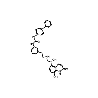 O=C(Nc1ccc(-c2ccccc2)cc1)Nc1cccc(CCNC[C@H](O)c2ccc(O)c3[nH]c(=O)ccc23)c1